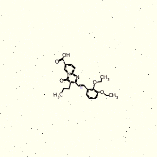 CCCc1c(/C=C/c2cccc(OCC)c2OCC)nc2ccc(C(=O)O)cn2c1=O